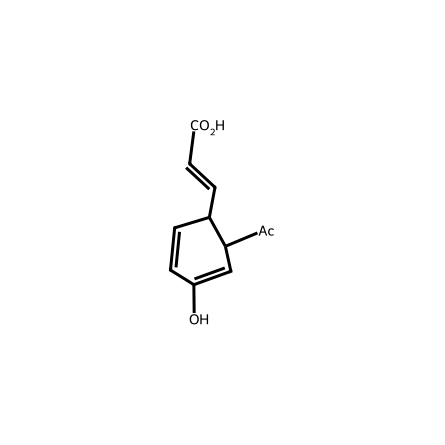 CC(=O)C1C=C(O)C=CC1C=CC(=O)O